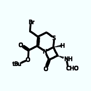 CC(C)(C)OC(=O)C1=C(CBr)CS[C@H]2[C@H](NC=O)C(=O)N12